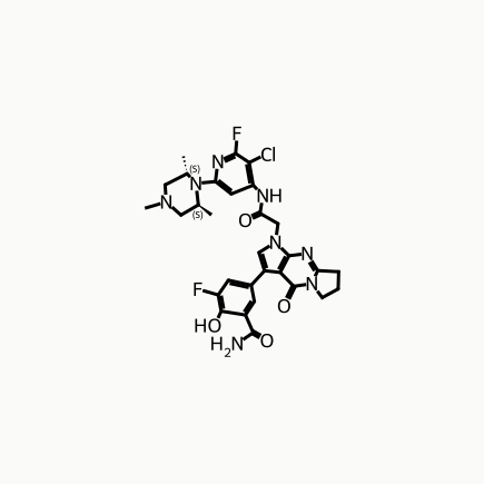 C[C@H]1CN(C)C[C@H](C)N1c1cc(NC(=O)Cn2cc(-c3cc(F)c(O)c(C(N)=O)c3)c3c(=O)n4c(nc32)CCC4)c(Cl)c(F)n1